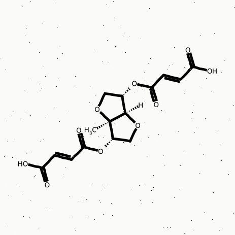 C[C@]12OC[C@H](OC(=O)/C=C/C(=O)O)[C@H]1OC[C@@H]2OC(=O)/C=C/C(=O)O